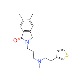 Cc1cc2c(cc1C)C(=O)N(CCCN(C)CCc1ccsc1)C2